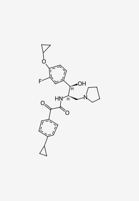 O=C(N[C@H](CN1CCCC1)[C@H](O)c1ccc(OC2CC2)c(F)c1)C(=O)c1ccc(C2CC2)cc1